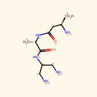 C[C@H](NC(=O)C[C@H](N)C(=O)O)C(=O)NC(CN)CN